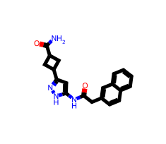 NC(=O)C1CC(c2cc(NC(=O)Cc3ccc4ccccc4c3)[nH]n2)C1